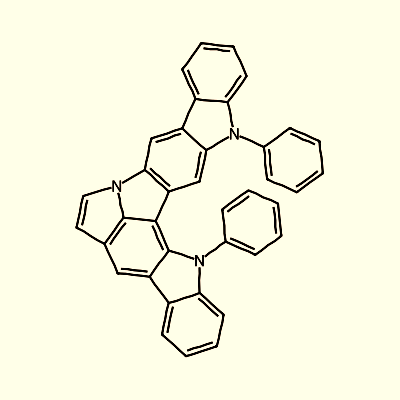 c1ccc(-n2c3ccccc3c3cc4c(cc32)c2c3c(cc5ccn4c52)c2ccccc2n3-c2ccccc2)cc1